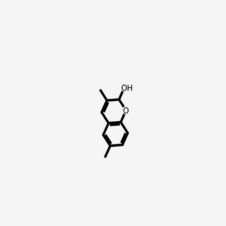 CC1=Cc2cc(C)ccc2OC1O